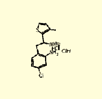 CNC(Cc1ccc(Cl)cc1N)c1sccc1C.Cl.Cl